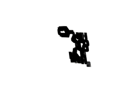 NC(=O)[C@H](Cc1c[nH]cn1)N1C[C@H](Cc2ccccc2)NC1=O